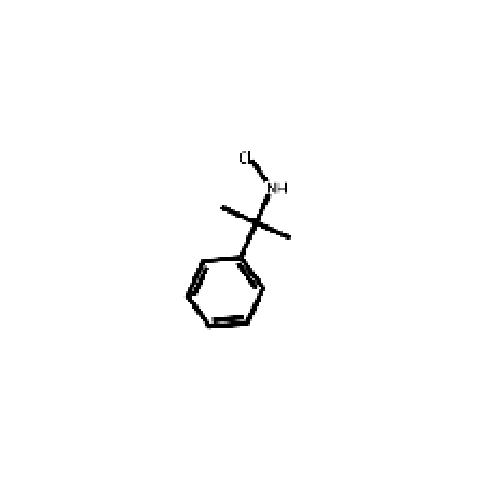 CC(C)(NCl)c1ccccc1